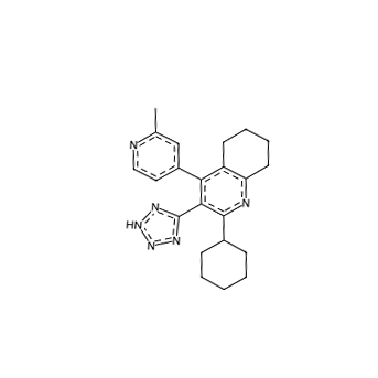 Cc1cc(-c2c3c(nc(C4CCCCC4)c2-c2nn[nH]n2)CCCC3)ccn1